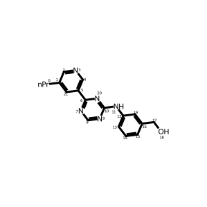 [CH2]CCc1cncc(-c2ncnc(Nc3cccc(CO)c3)n2)c1